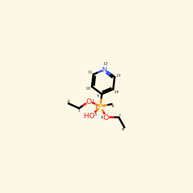 CCOP(C)(O)(OCC)c1ccncc1